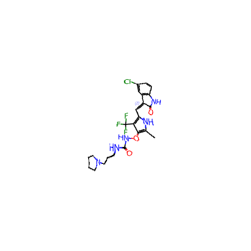 Cc1[nH]c(/C=C2\C(=O)Nc3ccc(Cl)cc32)c(C(F)(F)F)c1ONC(=O)NCCCN1CCCC1